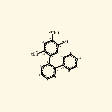 CCc1cc(-c2ccccc2-c2ccccc2)c(C(C)(C)C)cc1C(C)(C)C